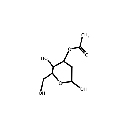 CC(=O)OC1CC(O)OC(CO)C1O